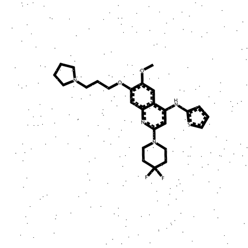 COc1cc2c(Nc3cccs3)cc(N3CCC(F)(F)CC3)nc2cc1OCCCN1CCCC1